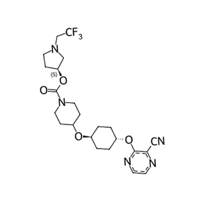 N#Cc1nccnc1O[C@H]1CC[C@H](OC2CCN(C(=O)O[C@H]3CCN(CC(F)(F)F)C3)CC2)CC1